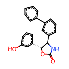 O=C1N[C@H](c2cccc(-c3ccccc3)c2)[C@@H](c2cccc(O)c2)O1